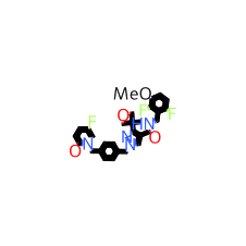 COc1ccc(F)c(CNC(=O)c2cn(Cc3ccc(Cn4cc(F)ccc4=O)cc3)nc2C2(C)COC2)c1F